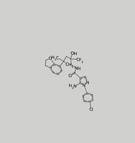 CC(C)(CC(O)(CNC(=O)c1cnn(-c2ccc(Cl)cc2)c1N)C(F)(F)F)c1cccc2c1OCC2